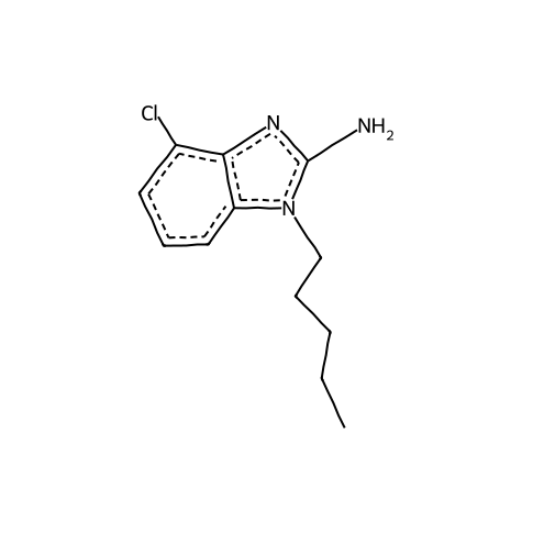 CCCCCn1c(N)nc2c(Cl)cccc21